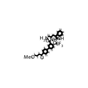 COCCCC(=O)c1ccc(-c2ccc(OC(F)(F)F)c(C(=O)NC(CN)Cc3c[nH]c4ccccc34)c2)cc1